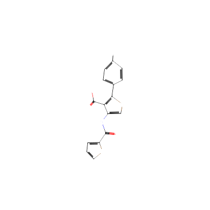 Cc1ccc(-c2scc(NC(=O)c3cccs3)c2C(=O)O)cc1